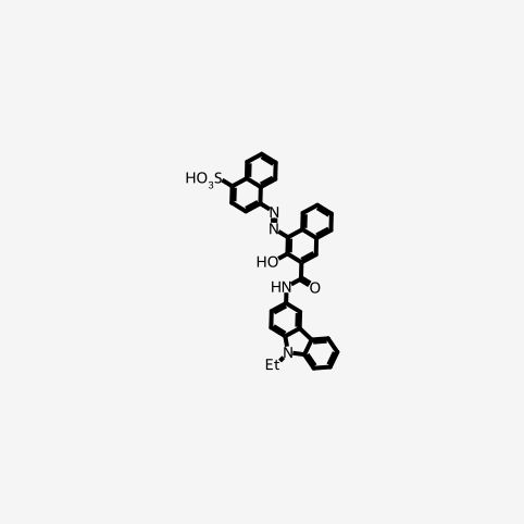 CCn1c2ccccc2c2cc(NC(=O)c3cc4ccccc4c(/N=N/c4ccc(S(=O)(=O)O)c5ccccc45)c3O)ccc21